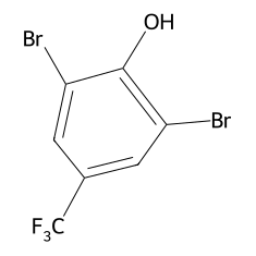 Oc1c(Br)cc(C(F)(F)F)cc1Br